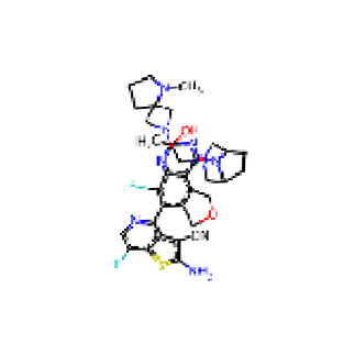 C[C@@H](O)CN1CC2CCC(C1)N2c1nc(N2CC3(CCCN3C)C2)nc2c(F)c(-c3ncc(F)c4sc(N)c(C#N)c34)c3c(c12)COC3